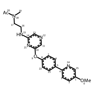 COc1ccc(-c2ccc(Oc3cncc(NCCN(C)C(C)=O)n3)cc2)nc1